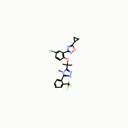 Cn1c(-c2ccccc2C(F)(F)F)nnc1C(C)(C)Oc1ccc(Cl)cc1-c1noc(C2CC2)n1